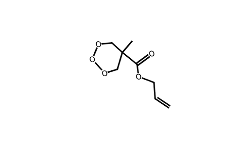 C=CCOC(=O)C1(C)COOOC1